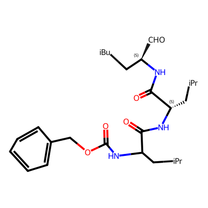 CCC(C)C[C@@H](C=O)NC(=O)[C@H](CC(C)C)NC(=O)C(CC(C)C)NC(=O)OCc1ccccc1